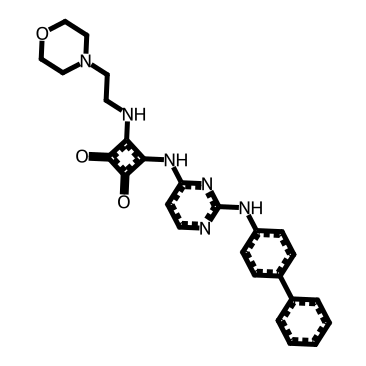 O=c1c(NCCN2CCOCC2)c(Nc2ccnc(Nc3ccc(-c4ccccc4)cc3)n2)c1=O